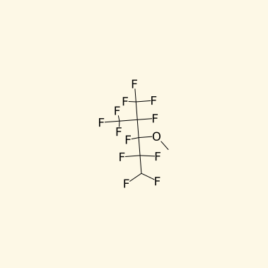 COC(F)(C(F)(F)C(F)F)C(F)(C(F)(F)F)C(F)(F)F